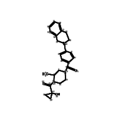 CC1CN(C(=O)c2ccc(N3CCc4cccnc4C3)cc2)CCN1C(=O)C1(O)CC1